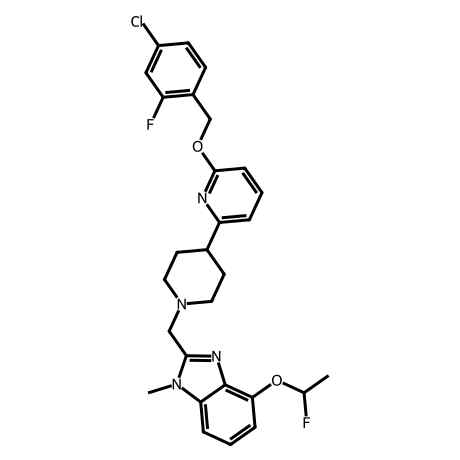 CC(F)Oc1cccc2c1nc(CN1CCC(c3cccc(OCc4ccc(Cl)cc4F)n3)CC1)n2C